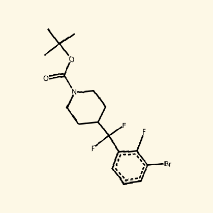 CC(C)(C)OC(=O)N1CCC(C(F)(F)c2cccc(Br)c2F)CC1